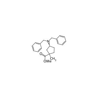 COC(=O)C1(C)CC[C@H](N(Cc2ccccc2)Cc2ccccc2)C1